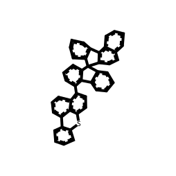 c1ccc2c(c1)Sc1ccc(-c3cccc4c3-c3ccccc3C43c4ccccc4-c4c3ccc3ccccc43)c3cccc-2c13